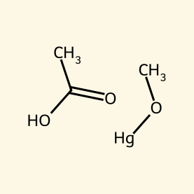 CC(=O)O.C[O][Hg]